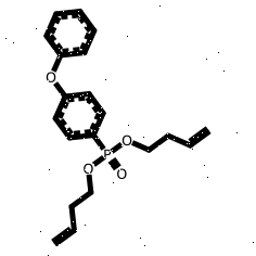 C=CCCOP(=O)(OCCC=C)c1ccc(Oc2ccccc2)cc1